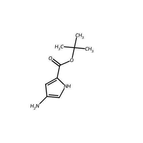 CC(C)(C)OC(=O)c1cc(N)c[nH]1